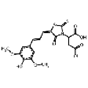 COc1cc(C=CC=C2SC(=S)N(C(CC(=O)O)C(=O)O)C2=O)cc(OC)c1O